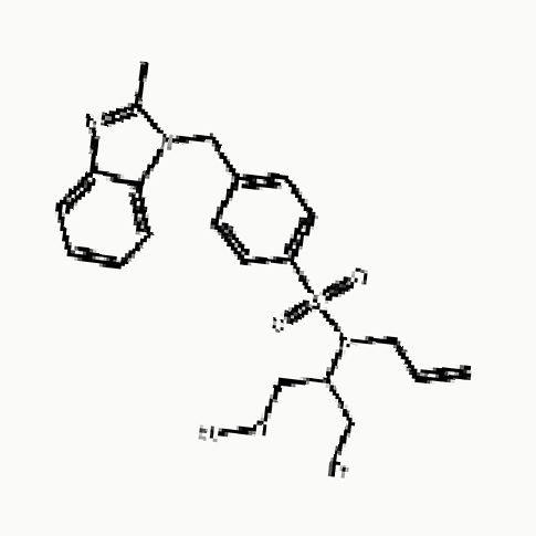 C=CCN([C@H](COCC)CC(C)C)S(=O)(=O)c1ccc(Cn2c(C)nc3ccccc32)cc1